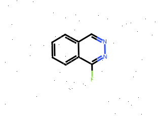 Fc1nncc2ccccc12